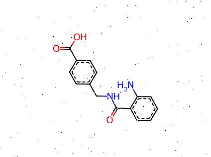 Nc1ccccc1C(=O)NCc1ccc(C(=O)O)cc1